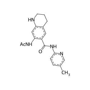 CC(=O)Nc1cc2c(cc1C(=O)Nc1ccc(C)cn1)CCCN2